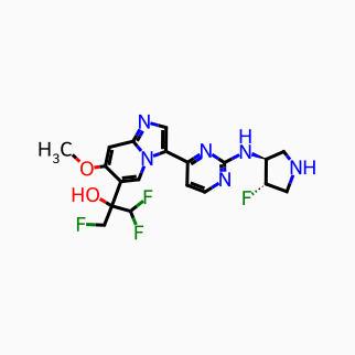 COc1cc2ncc(-c3ccnc(N[C@H]4CNC[C@@H]4F)n3)n2cc1C(O)(CF)C(F)F